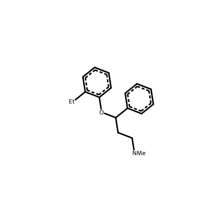 CCc1ccccc1OC(CCNC)c1ccccc1